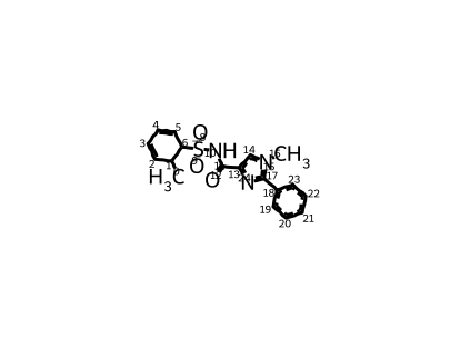 CC1C=CC=CC1S(=O)(=O)NC(=O)c1cn(C)c(-c2ccccc2)n1